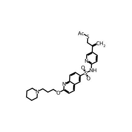 C=C(CSC(C)=O)c1ccc(NS(=O)(=O)c2ccc3nc(OCCCN4CCCCC4)ccc3c2)nc1